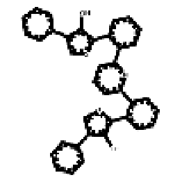 Oc1c(-c2ccccc2)csc1-c1ccccc1-c1cccc(-c2ccccc2-c2scc(-c3ccccc3)c2O)n1